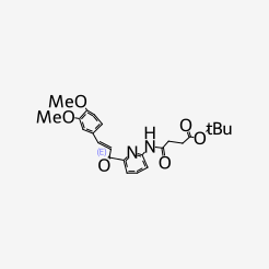 COc1ccc(/C=C/C(=O)c2cccc(NC(=O)CCC(=O)OC(C)(C)C)n2)cc1OC